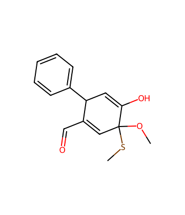 COC1(SC)C=C(C=O)C(c2ccccc2)C=C1O